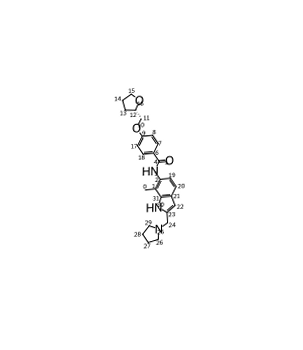 Cc1c(NC(=O)c2ccc(OC[C@@H]3CCCO3)cc2)ccc2cc(CN3CCCC3)[nH]c12